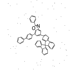 c1ccc(-c2ccc(-c3cc(-c4ccc5c(c4)C4(c6ccccc6-c6ccccc64)c4ccccc4-5)cc4nc(-c5ccccc5)oc34)cc2)cc1